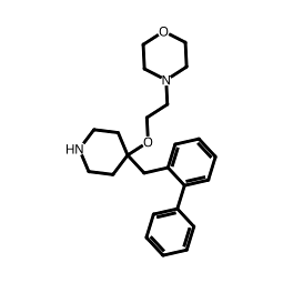 c1ccc(-c2ccccc2CC2(OCCN3CCOCC3)CCNCC2)cc1